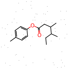 CCC(C)C(C)CC(=O)Oc1ccc(C)cc1